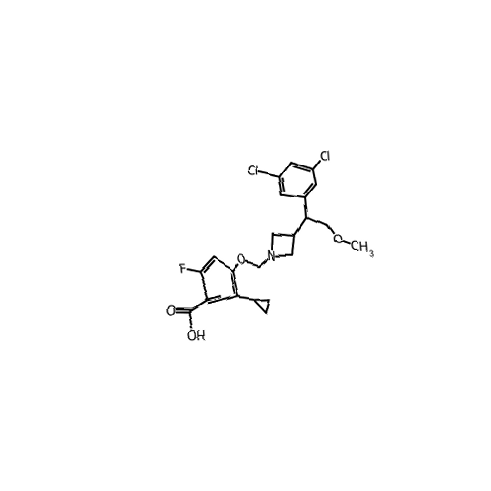 COCC(c1cc(Cl)cc(Cl)c1)C1CN(COc2cc(F)c(C(=O)O)cc2C2CC2)C1